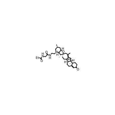 CCC(=O)NCC(=O)NCCN1C[C@@H](C)C[C@H]2O[C@]3(CC[C@@H]4C(=C(C)C3)C[C@H]3[C@H]4CCC4=CC(=O)CC[C@@]43C)[C@H](C)[C@@H]21